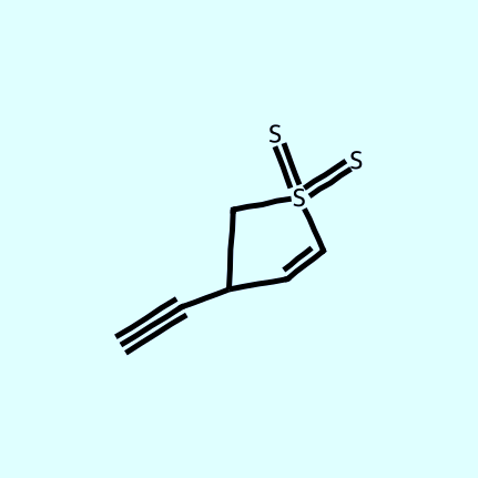 C#CC1C=CS(=S)(=S)C1